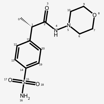 C[C@H](C(=O)NN1CCOCC1)c1ccc(S(N)(=O)=O)cc1